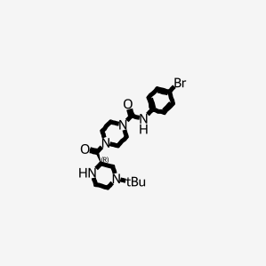 CC(C)(C)N1CCN[C@@H](C(=O)N2CCN(C(=O)Nc3ccc(Br)cc3)CC2)C1